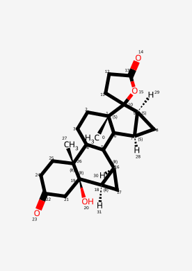 C[C@]12CCC3C(C1[C@@H]1C[C@@H]1C21CCC(=O)O1)[C@H]1C[C@H]1[C@]1(O)CC(=O)CC[C@]31C